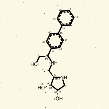 OC[C@H](NC[C@H]1NC[C@H](O)[C@@H]1O)c1ccc(-c2ccccc2)cc1